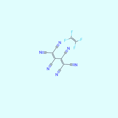 FC(F)=C(F)F.N#CC(C#N)=C(C#N)C(C#N)=C(C#N)C#N